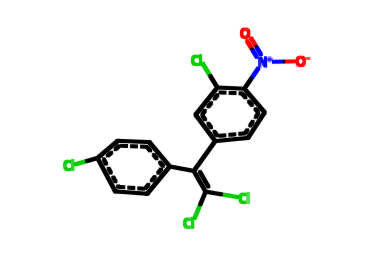 O=[N+]([O-])c1ccc(C(=C(Cl)Cl)c2ccc(Cl)cc2)cc1Cl